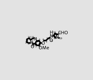 COc1cc2c(cc1OCCCC(=O)Nc1cc(C=O)n(C)c1)N=CC1CCCCN1C2=O